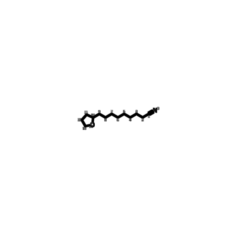 N#CCCCCCCCCC1CCCO1